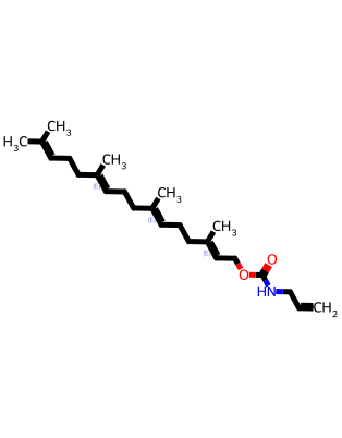 C=CCNC(=O)OC/C=C(\C)CC/C=C(\C)CC/C=C(\C)CCC=C(C)C